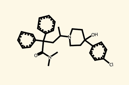 CC(CC(C(=O)N(C)C)(c1ccccc1)c1ccccc1)N1CCC(O)(c2ccc(Cl)cc2)CC1